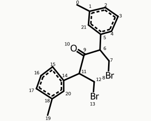 Cc1cccc(C(CBr)C(=O)C(CBr)c2cccc(C)c2)c1